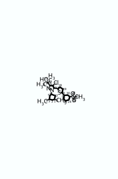 Cc1cc(C)cc(-n2nc(C(C)(C)O)c(Cl)c2-c2ccc(-c3cccc(S(C)(=O)=O)c3)s2)c1